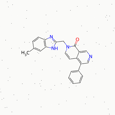 Cc1ccc2nc(Cn3ccc4c(-c5ccccc5)cncc4c3=O)[nH]c2c1